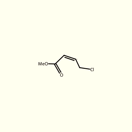 COC(=O)/C=[C]\CCl